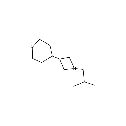 CC(C)CN1CC(C2CCOCC2)C1